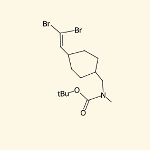 CN(CC1CCC(C=C(Br)Br)CC1)C(=O)OC(C)(C)C